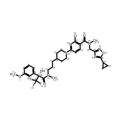 COc1cccc([C@@](O)(C(=O)N(C)CCCC2CCN(c3ccc(C(=O)N(C)Cc4noc(C5CC5)n4)c(Cl)n3)CC2)C(F)(F)F)c1